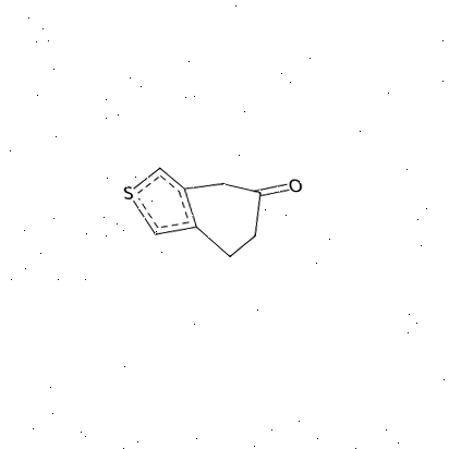 O=C1CCc2cscc2C1